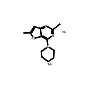 Cc1nc(N2CCCCC2)c2[nH]c(C)cc2n1.Cl.O